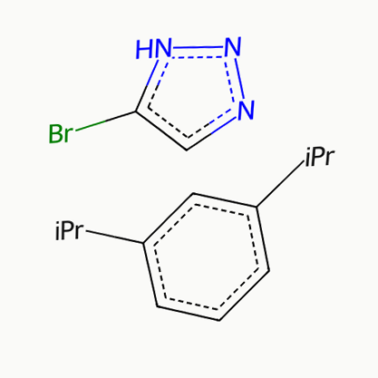 Brc1cnn[nH]1.CC(C)c1cccc(C(C)C)c1